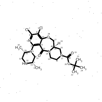 C[C@H]1CN(c2nc(Cl)c(Cl)c3c2C(=O)N2CCN(C(=O)OC(C)(C)C)C[C@@H]2CO3)[C@@H](C)CN1